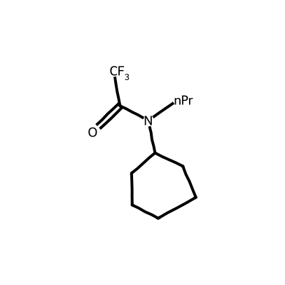 CCCN(C(=O)C(F)(F)F)C1CCCCC1